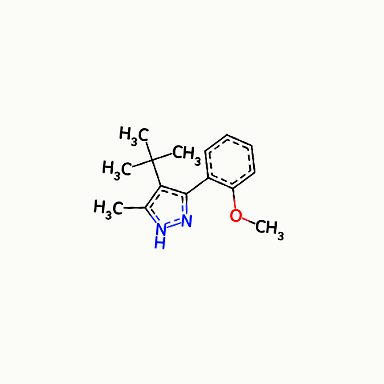 COc1ccccc1-c1n[nH]c(C)c1C(C)(C)C